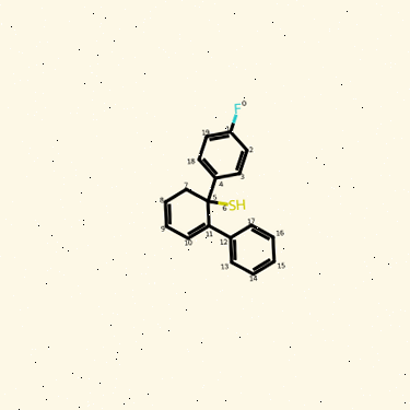 Fc1ccc(C2(S)CC=CC=C2c2ccccc2)cc1